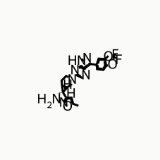 Cc1cc([C@@]2(CN)[C@@H]3CCN(c4cnc5c(-c6ccc7c(c6)OC(F)(F)O7)n[nH]c5n4)C[C@@H]32)no1